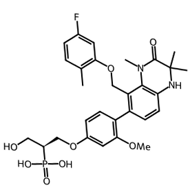 COc1cc(OC[C@H](CO)P(=O)(O)O)ccc1-c1ccc2c(c1COc1cc(F)ccc1C)N(C)C(=O)C(C)(C)N2